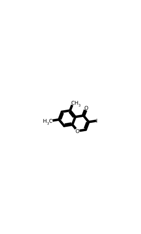 Cc1cc(C)c2c(=O)c(I)coc2c1